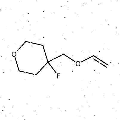 C=COCC1(F)CCOCC1